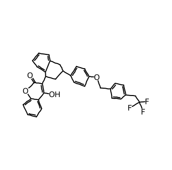 O=c1oc2ccccc2c(O)c1C1CC(c2ccc(OCc3ccc(CC(F)(F)F)cc3)cc2)Cc2ccccc21